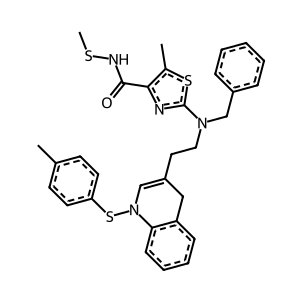 CSNC(=O)c1nc(N(CCC2=CN(Sc3ccc(C)cc3)c3ccccc3C2)Cc2ccccc2)sc1C